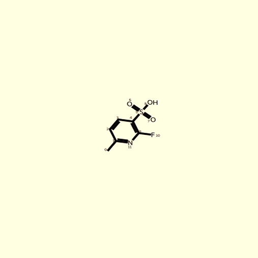 Cc1ccc(S(=O)(=O)O)c(F)n1